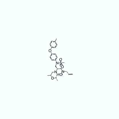 C=CCN(O)C(=O)[C@H](CN(c1ccc(Oc2ccc(C)cc2)cc1)S(C)(=O)=O)N1CC(C)OC(C)C1